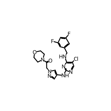 O=C(Cn1cc(Nc2ncc(Cl)c(NCc3cc(F)cc(F)c3)n2)cn1)N1CCOCC1